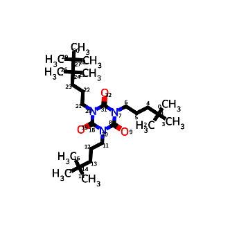 CC(C)(C)CCCn1c(=O)n(CCCC(C)(C)C)c(=O)n(CCCC(C)(C)C(C)(C)C)c1=O